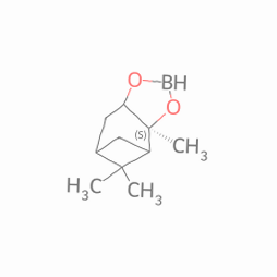 CC1(C)C2CC3OBO[C@@]3(C)C1C2